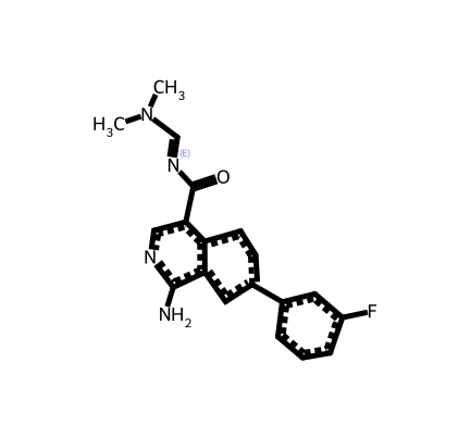 CN(C)/C=N/C(=O)c1cnc(N)c2cc(-c3cccc(F)c3)ccc12